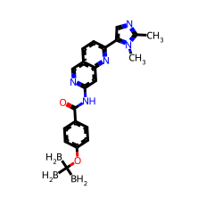 BC(B)(B)Oc1ccc(C(=O)Nc2cc3nc(-c4cnc(C)n4C)ccc3cn2)cc1